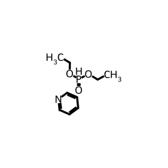 CCO[PH](=O)OCC.c1ccncc1